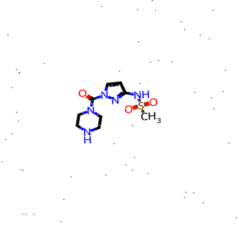 CS(=O)(=O)Nc1ccn(C(=O)N2CCNCC2)n1